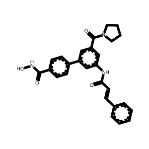 O=C(/C=C/c1ccccc1)Nc1cc(C(=O)N2CCCC2)cc(-c2ccc(C(=O)NO)cc2)c1